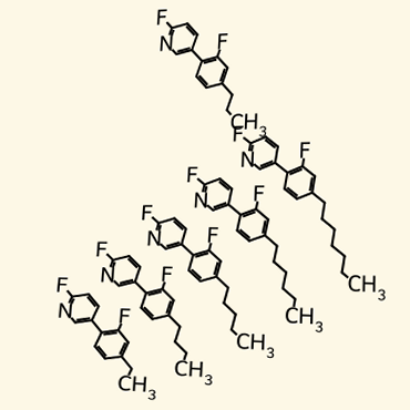 CCCCCCCc1ccc(-c2ccc(F)nc2)c(F)c1.CCCCCCc1ccc(-c2ccc(F)nc2)c(F)c1.CCCCCc1ccc(-c2ccc(F)nc2)c(F)c1.CCCCc1ccc(-c2ccc(F)nc2)c(F)c1.CCCc1ccc(-c2ccc(F)nc2)c(F)c1.CCc1ccc(-c2ccc(F)nc2)c(F)c1